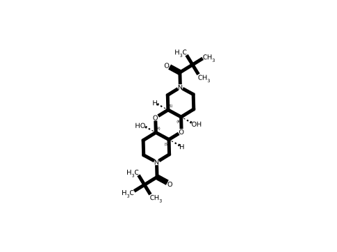 CC(C)(C)C(=O)N1CC[C@@]2(O)O[C@H]3CN(C(=O)C(C)(C)C)CC[C@@]3(O)O[C@H]2C1